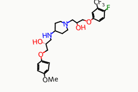 COc1ccc(OC[C@H](O)CNC2CCN(C[C@H](O)COc3ccc(F)c(C(F)(F)F)c3)CC2)cc1